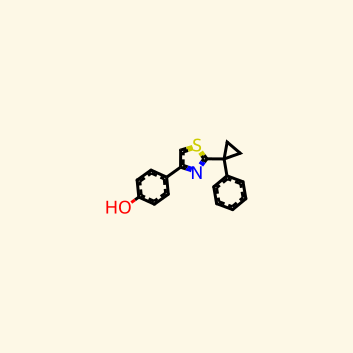 Oc1ccc(-c2csc(C3(c4ccccc4)CC3)n2)cc1